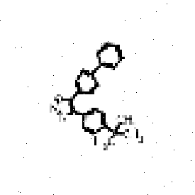 CC(C)(C)c1ccc(-c2nnoc2-c2ccc(-c3ccccc3)cc2)cc1